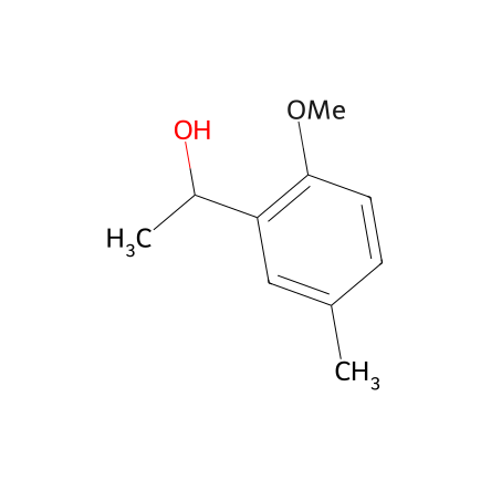 COc1ccc(C)cc1C(C)O